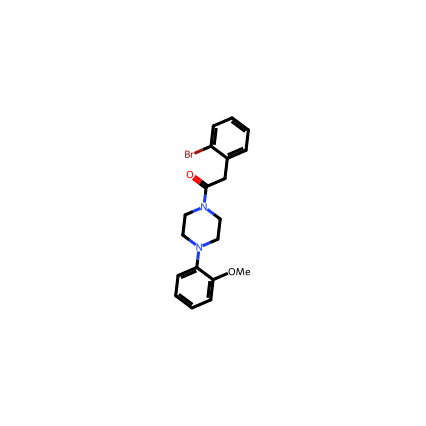 COc1ccccc1N1CCN(C(=O)Cc2ccccc2Br)CC1